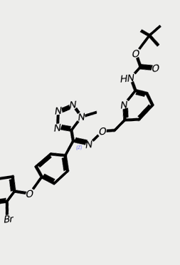 Cn1nnnc1/C(=N\OCc1cccc(NC(=O)OC(C)(C)C)n1)c1ccc(Oc2ccccc2Br)cc1